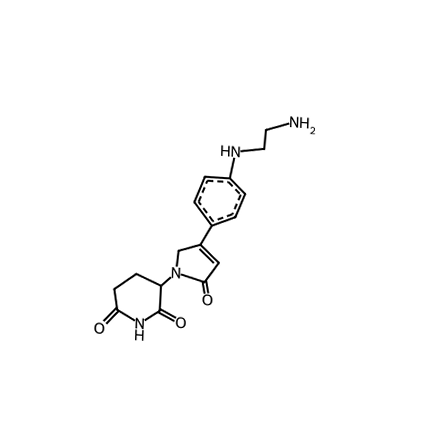 NCCNc1ccc(C2=CC(=O)N(C3CCC(=O)NC3=O)C2)cc1